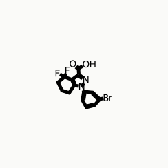 O=C(O)c1nn(-c2cccc(Br)c2)c2c1C(F)(F)CCC2